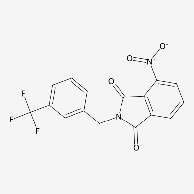 O=C1c2cccc([N+](=O)[O-])c2C(=O)N1Cc1cccc(C(F)(F)F)c1